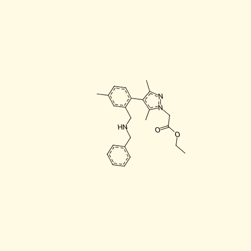 CCOC(=O)Cn1nc(C)c(-c2ccc(C)cc2CNCc2ccccc2)c1C